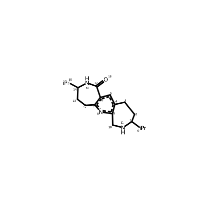 CC(C)C1CCc2cc3c(nc2CN1)CCC(C(C)C)NC3=O